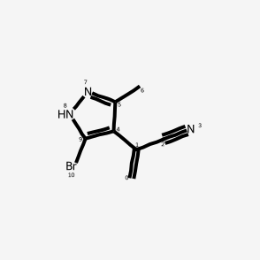 C=C(C#N)c1c(C)n[nH]c1Br